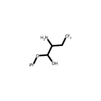 CC(C)OC(O)C(N)CC(F)(F)F